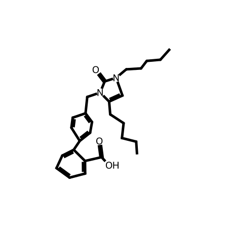 CCCCCc1cn(CCCCC)c(=O)n1Cc1ccc(-c2ccccc2C(=O)O)cc1